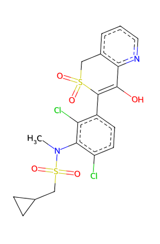 CN(c1c(Cl)ccc(C2=C(O)c3ncccc3CS2(=O)=O)c1Cl)S(=O)(=O)CC1CC1